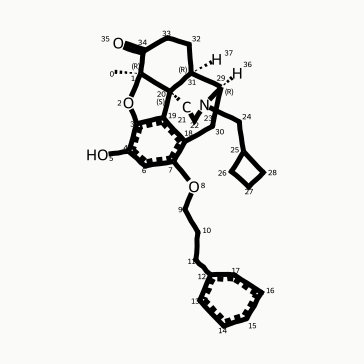 C[C@@]12Oc3c(O)cc(OCCCc4ccccc4)c4c3[C@@]13CCN(CC1CCC1)[C@H](C4)[C@@H]3CCC2=O